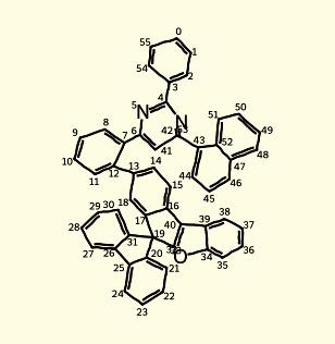 c1ccc(-c2nc(-c3ccccc3-c3ccc4c(c3)C3(c5ccccc5-c5ccccc53)c3oc5ccccc5c3-4)cc(-c3cccc4ccccc34)n2)cc1